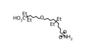 CCC(CC)(CCCCOCCCCC(CC)(CC)C(=O)O)CCCCS(N)(=O)=O